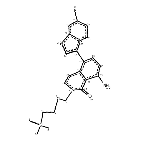 C[Si](C)(C)CCOCn1ccc2c(-c3cnc4cc(F)ccn34)ccc(N)c2c1=O